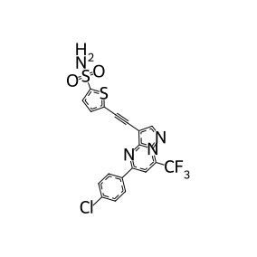 NS(=O)(=O)c1ccc(C#Cc2cnn3c(C(F)(F)F)cc(-c4ccc(Cl)cc4)nc23)s1